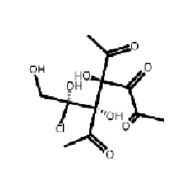 CC(=O)C(=O)[C@@](O)(C(C)=O)[C@@](O)(C(C)=O)[C@@](O)(Cl)CO